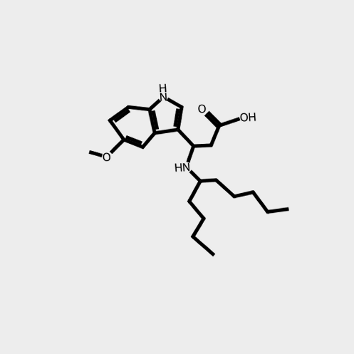 CCCCCC(CCCC)NC(CC(=O)O)c1c[nH]c2ccc(OC)cc12